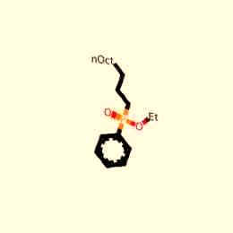 CCCCCCCCCCCP(=O)(OCC)c1ccccc1